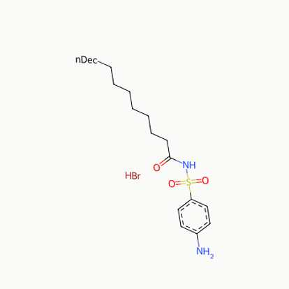 Br.CCCCCCCCCCCCCCCCCC(=O)NS(=O)(=O)c1ccc(N)cc1